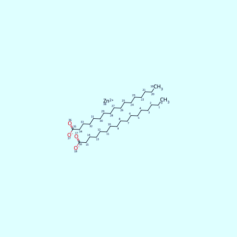 CCCCCCCCCCCCCCCCC(=O)[O-].CCCCCCCCCCCCCCCCC(=O)[O-].[Zn+2]